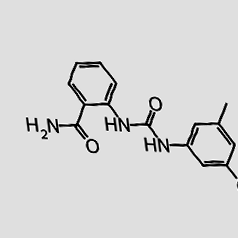 Cc1cc(Cl)cc(NC(=O)Nc2ccccc2C(N)=O)c1